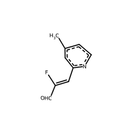 Cc1ccnc(C=C(F)C=O)c1